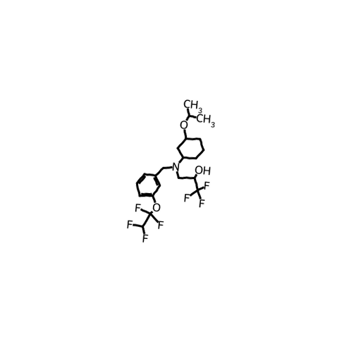 CC(C)OC1CCCC(N(Cc2cccc(OC(F)(F)C(F)F)c2)CC(O)C(F)(F)F)C1